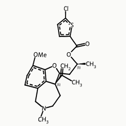 C=C(C)[C@@]12CCN(C)Cc3ccc(OC)c(c31)OC2C[C@H](C)OC(=O)c1ccc(Cl)s1